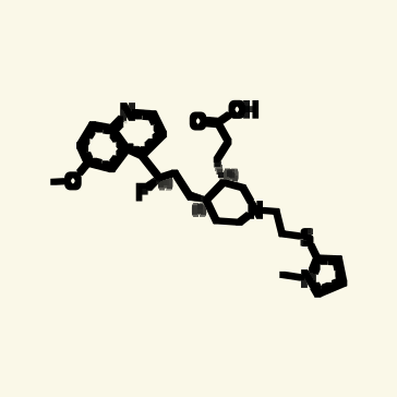 COc1ccc2nccc([C@H](F)CC[C@@H]3CCN(CCSc4cccn4C)C[C@H]3CCC(=O)O)c2c1